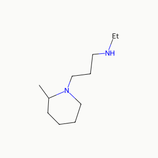 CCNCCCN1CCCCC1C